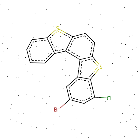 Clc1cc(Br)cc2c1sc1ccc3sc4ccccc4c3c12